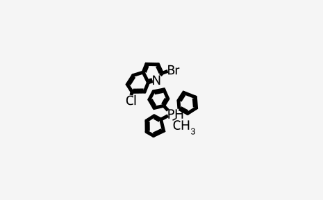 C[PH](c1ccccc1)(c1ccccc1)c1ccccc1.Clc1ccc2ccc(Br)nc2c1